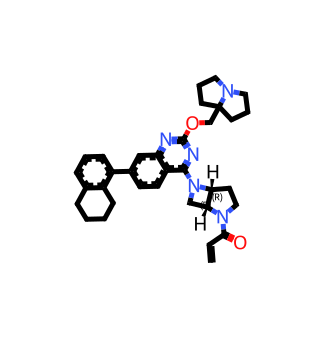 C=CC(=O)N1CC[C@@H]2[C@H]1CN2c1nc(OCC23CCCN2CCC3)nc2cc(-c3cccc4c3CCCC4)ccc12